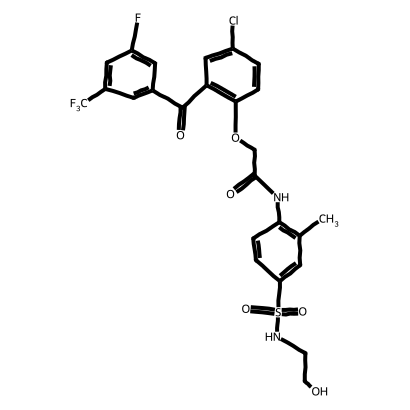 Cc1cc(S(=O)(=O)NCCO)ccc1NC(=O)COc1ccc(Cl)cc1C(=O)c1cc(F)cc(C(F)(F)F)c1